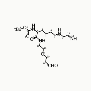 CC(C)(C)OC(=O)NC(CCCCNCC=N)C(=O)NCCOCCC=O